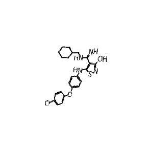 N=C(NCC1CCCCC1)c1c(O)nsc1Nc1ccc(Oc2ccc(Cl)cc2)cc1